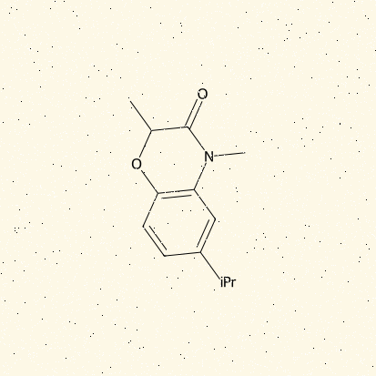 CC1Oc2ccc(C(C)C)cc2N(C)C1=O